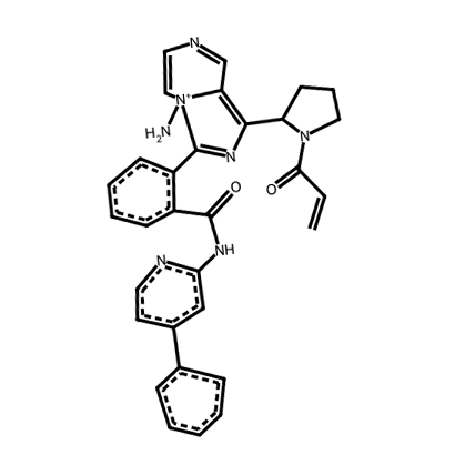 C=CC(=O)N1CCCC1C1=C2C=NC=C[N+]2(N)C(c2ccccc2C(=O)Nc2cc(-c3ccccc3)ccn2)=N1